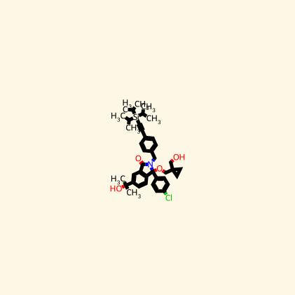 CC(C)[Si](C#Cc1ccc(CN2C(=O)c3cc(C(C)(C)O)ccc3C2(OCC2(CO)CC2)c2ccc(Cl)cc2)cc1)(C(C)C)C(C)C